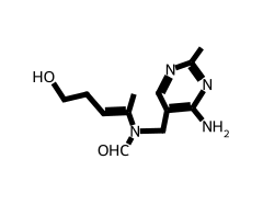 C/C(=C\CCO)N(C=O)Cc1cnc(C)nc1N